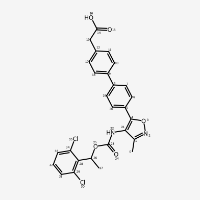 Cc1noc(-c2ccc(-c3ccc(CC(=O)O)cc3)cc2)c1NC(=O)OC(C)c1c(Cl)cccc1Cl